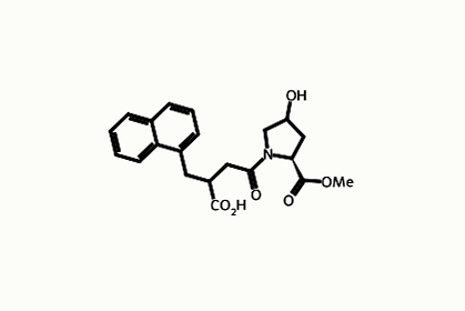 COC(=O)[C@@H]1CC(O)CN1C(=O)CC(Cc1cccc2ccccc12)C(=O)O